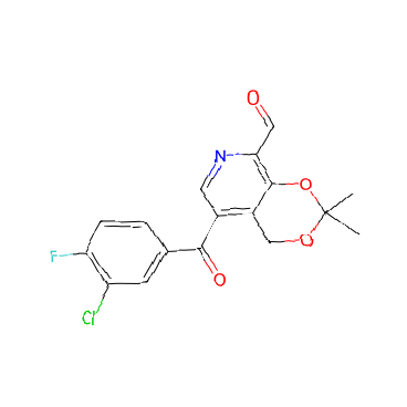 CC1(C)OCc2c(C(=O)c3ccc(F)c(Cl)c3)cnc(C=O)c2O1